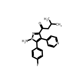 CC(C)CC(=O)c1nn(N)c(-c2ccc(F)cc2)c1-c1ccncc1